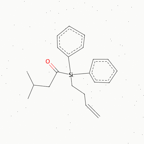 C=CCC[Si](C(=O)CC(C)C)(c1ccccc1)c1ccccc1